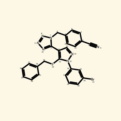 N#Cc1ccc(Cn2nnnc2-c2cnn(-c3cccc(Br)c3)c2SCc2ccccc2)cc1